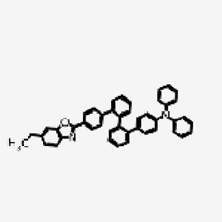 CCc1ccc2nc(-c3ccc(-c4ccccc4-c4ccccc4-c4ccc(N(c5ccccc5)c5ccccc5)cc4)cc3)oc2c1